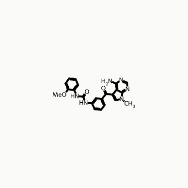 COc1ccccc1NC(=O)Nc1cccc(C(=O)c2cn(C)c3ncnc(N)c23)c1